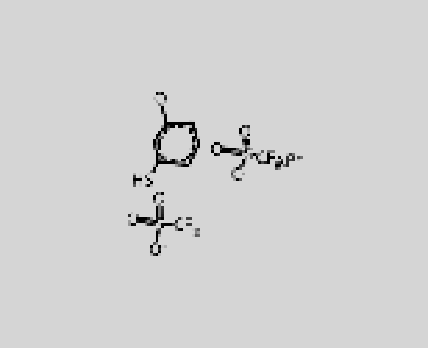 O=S(=O)([O-])C(F)(F)F.O=S(=O)([O-])C(F)(F)F.[Al+3].[O-]c1cccc(S)c1